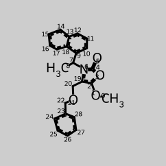 COc1oc(=O)n(C(C)c2cccc3ccccc23)c1COCc1ccccc1